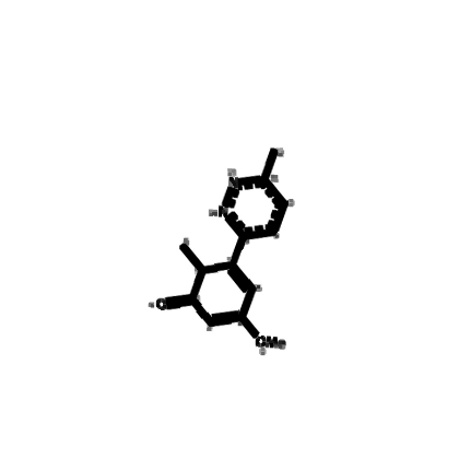 COC1=CC(=O)C(C)C(c2ccc(C)nn2)=C1